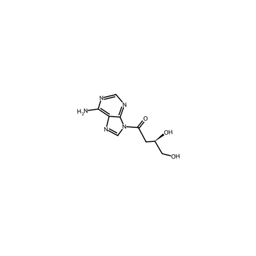 Nc1ncnc2c1ncn2C(=O)C[C@@H](O)CO